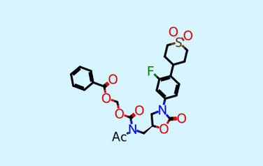 CC(=O)N(C[C@H]1CN(c2ccc(C3CCS(=O)(=O)CC3)c(F)c2)C(=O)O1)C(=O)OCOC(=O)c1ccccc1